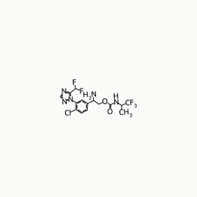 CC(NC(=O)OCC(N)c1ccc(Cl)c(-n2ncnc2C(F)F)c1)C(F)(F)F